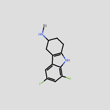 CCNC1CCc2[nH]c3c(F)cc(F)cc3c2C1